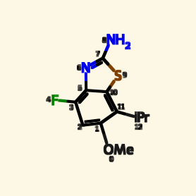 COc1cc(F)c2nc(N)sc2c1C(C)C